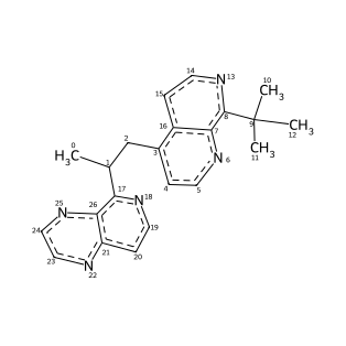 CC(Cc1ccnc2c(C(C)(C)C)nccc12)c1nccc2nccnc12